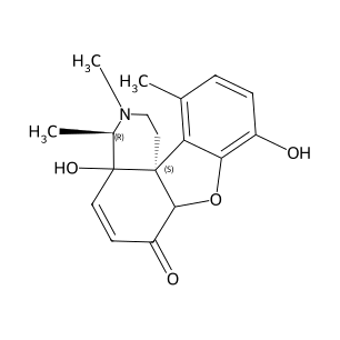 Cc1ccc(O)c2c1[C@]13CCN(C)[C@H](C)C1(O)C=CC(=O)C3O2